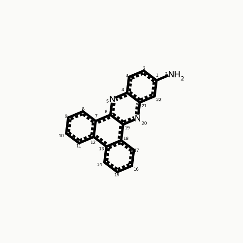 Nc1ccc2nc3c4ccccc4c4ccccc4c3nc2c1